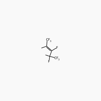 CC(=C(F)C(C)(F)C(F)(F)F)C(F)(F)F